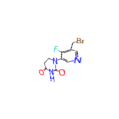 O=C1CCN(c2cncc(CBr)c2F)C(=O)N1